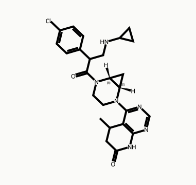 CC1CC(=O)Nc2ncnc(N3CCN(C(=O)C(CNC4CC4)c4ccc(Cl)cc4)[C@@H]4C[C@@H]43)c21